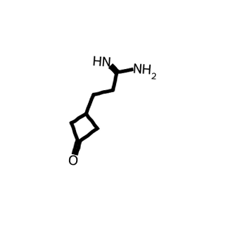 N=C(N)CCC1CC(=O)C1